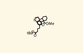 COC(=O)C1(c2cccc(CCCC(=O)OC(C)(C)C)c2)CCCCC1C12CCN(CC1)CC2